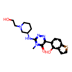 Cn1c(N[C@@H]2CCCN(CCO)C2)nnc(-c2ccc3sccc3c2O)c1=O